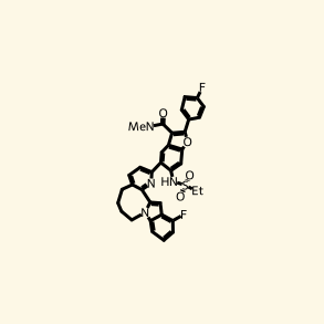 CCS(=O)(=O)Nc1cc2oc(-c3ccc(F)cc3)c(C(=O)NC)c2cc1-c1ccc2c(n1)-c1cc3c(F)cccc3n1CCCC2